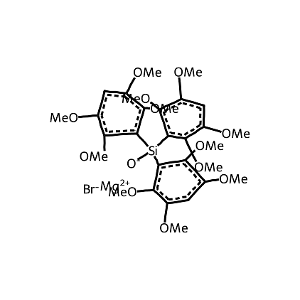 COc1cc(OC)c(OC)c([Si]([O-])(c2c(OC)c(OC)cc(OC)c2OC)c2c(OC)c(OC)cc(OC)c2OC)c1OC.[Br-].[Mg+2]